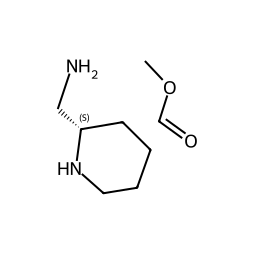 COC=O.NC[C@@H]1CCCCN1